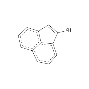 [2H]C1=Cc2cccc3cccc1c23